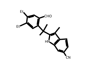 CCc1cc(C=O)c(C(C)(C)c2[nH]c3cc(C#N)ccc3c2C)cc1CC